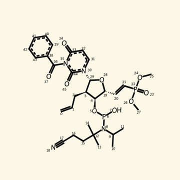 C=CC[C@@H]1[C@H](OP(O)N(C(C)C)C(C)(C)CCC#N)[C@@H](/C=C/P(=O)(OC)OC)O[C@H]1n1ccc(=O)n(C(=O)c2ccccc2)c1=O